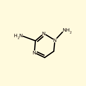 NC1=NN(N)CC=N1